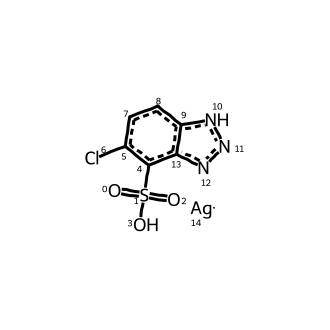 O=S(=O)(O)c1c(Cl)ccc2[nH]nnc12.[Ag]